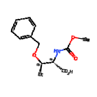 CC[C@@H](OCc1ccccc1)[C@H](NC(=O)OC(C)(C)C)C(=O)O